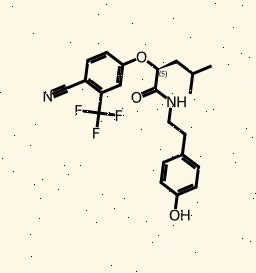 CC(C)C[C@H](Oc1ccc(C#N)c(C(F)(F)F)c1)C(=O)NCCc1ccc(O)cc1